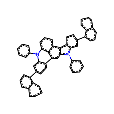 c1ccc(N2c3cc(-c4cccc5ccccc45)ccc3-c3cc4c(c5cccc2c35)c2ccc(-c3cccc5ccccc35)cc2n4-c2ccccc2)cc1